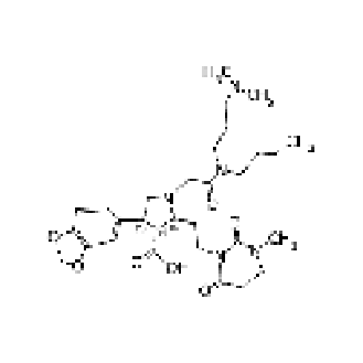 CCCCN(CCCN(C)C)C(=O)CN1C[C@H](c2ccc3c(c2)OCO3)[C@@H](C(=O)O)[C@@H]1CCN1C(=O)CCN(C)C1=O